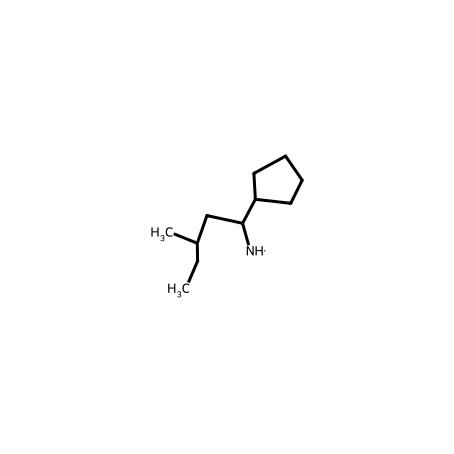 CCC(C)CC([NH])C1CCCC1